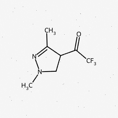 CC1=NN(C)CC1C(=O)C(F)(F)F